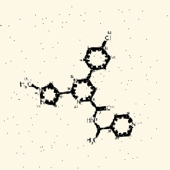 CC(NC(=O)c1cc(-c2ccc(Cl)cc2)nc(-c2cnn(C)c2)n1)c1ccncc1